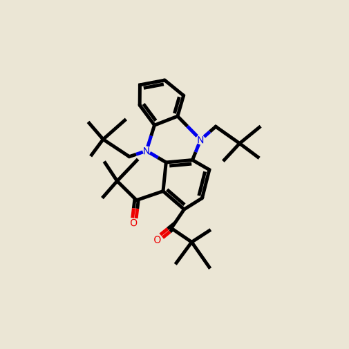 CC(C)(C)CN1c2ccccc2N(CC(C)(C)C)c2c1ccc(C(=O)C(C)(C)C)c2C(=O)C(C)(C)C